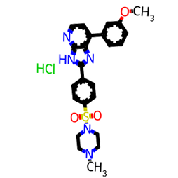 COc1cccc(-c2ccnc3[nH]c(-c4ccc(S(=O)(=O)N5CCN(C)CC5)cc4)nc23)c1.Cl